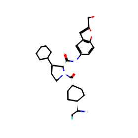 NC(CF)[C@H]1CC[C@H](C(=O)N2CCC(C3CCCCC3)[C@H]2C(=O)Nc2ccc3oc(CO)cc3c2)CC1